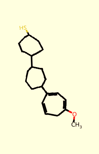 COC1=CC=C(C2CCCC(C3CCC(S)CC3)CC2)C=CC1